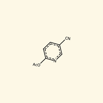 CC(=O)Oc1ccc(C#N)cn1